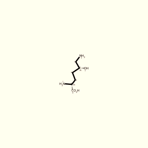 NC[C@H](O)CC[C@@H](N)C(=O)O